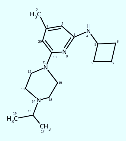 Cc1cc(NC2CCC2)nc(N2CCN(C(C)C)CC2)c1